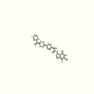 Cn1c(=O)c2c(ncn2CC(=O)Nc2ccc(N3CCN(C(=O)c4ccccc4)CC3)cn2)n(C)c1=O